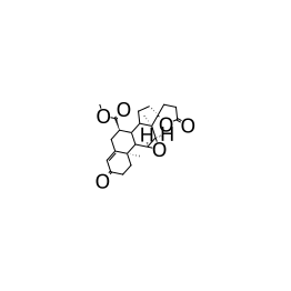 COC(=O)[C@@H]1CC2=CC(=O)CC[C@]2(C)C2C1C1CC[C@@]3(CCC(=O)O3)[C@@]1(C)[C@H]1O[C@@H]21